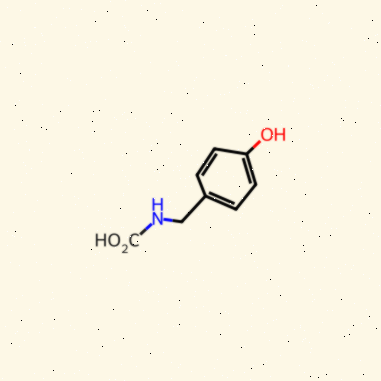 O=C(O)NCc1ccc(O)cc1